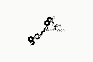 CCCCCCCCCN(CCCCCCCCC)C(O)OCn1c(=O)ccc2ccc(OCCCCN3CCN(c4cccc5sccc45)CC3)cc21